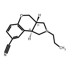 CCCN1C[C@H]2COc3ccc(C#N)cc3[C@@H]2C1